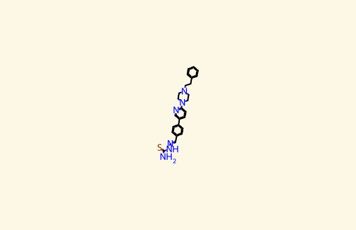 NC(=S)NN=Cc1ccc(-c2ccc(N3CCN(CCc4ccccc4)CC3)nc2)cc1